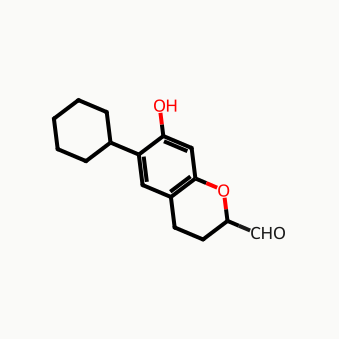 O=CC1CCc2cc(C3CCCCC3)c(O)cc2O1